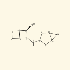 C1C(NC2C3CC4C3[C@H]42)CC2CC12